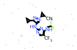 N#C[C@H]1C[C@H]1n1cc(Nc2ncc(C(F)(F)F)c(NCC(F)F)n2)c(C2CC2)n1